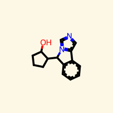 OC1CCCC1C1c2ccccc2-c2cncn21